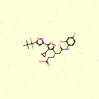 CC(C)(C)C(F)(F)c1cc(-c2onc([C@H](CCC(=O)O)CC(=O)Nc3ccc(F)cc3Cl)c2C2CC2)no1